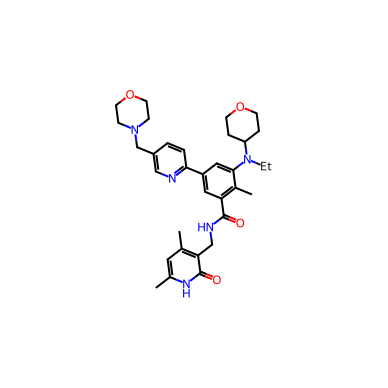 CCN(c1cc(-c2ccc(CN3CCOCC3)cn2)cc(C(=O)NCc2c(C)cc(C)[nH]c2=O)c1C)C1CCOCC1